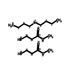 CCC[CH2][Sn][CH2]CCC.COC(=O)CCS.COC(=O)CCS